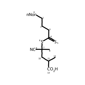 CCCCCCCCCCCCC(=S)SC(C)(C#N)CC(C)C(=O)O